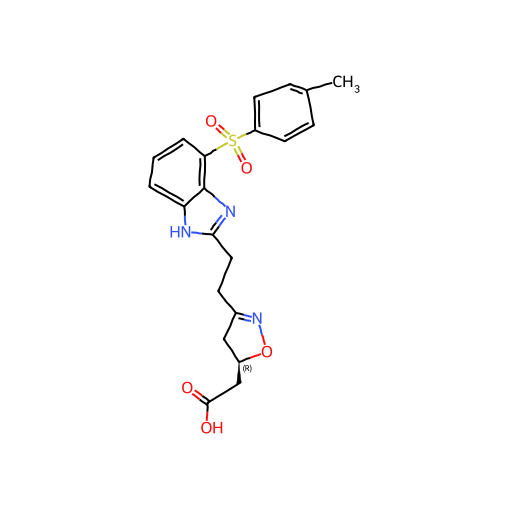 Cc1ccc(S(=O)(=O)c2cccc3[nH]c(CCC4=NO[C@@H](CC(=O)O)C4)nc23)cc1